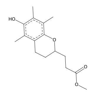 COC(=O)CCC1CCc2c(C)c(O)c(C)c(C)c2O1